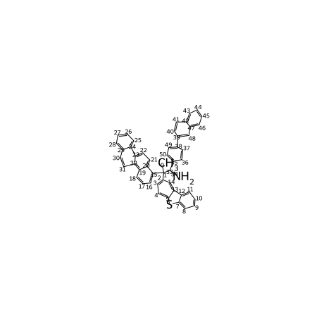 CC(c1ccc2sc3ccccc3c2c1)(c1cccc2c1ccc1c3ccccc3ccc21)C(N)c1ccc(-c2ccc3ccccc3c2)cc1